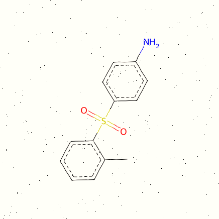 Cc1ccccc1S(=O)(=O)c1ccc(N)cc1